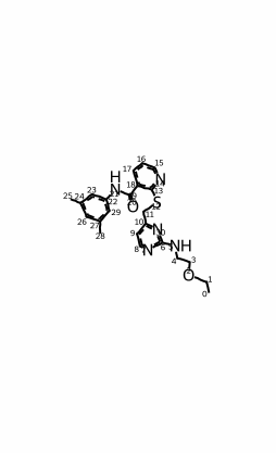 CCOCCNc1nccc(CSc2ncccc2C(=O)Nc2cc(C)cc(C)c2)n1